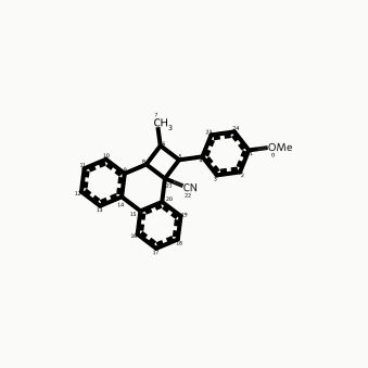 COc1ccc(C2C(C)C3c4ccccc4-c4ccccc4C23C#N)cc1